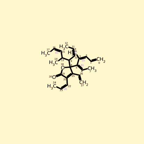 C=C/C=C(C)\C(=C/C)C1(C(/C=C\C)C(C)/C=C\C)OC(=O)C(/C=C\C)=C1C=C